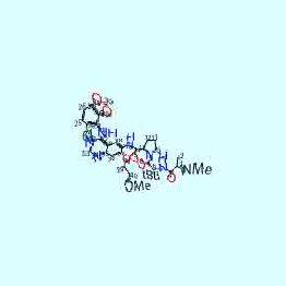 CNC(C)C(=O)NC(C(=O)N1CCCC1C(=O)Nc1cc2c(Nc3c(Cl)ccc4c3OCO4)ncnc2cc1OCCOC)C(C)(C)C